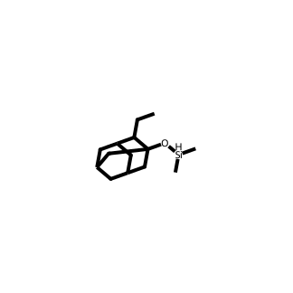 CCC1C2CC3CC(C2)CC1(O[SiH](C)C)C3